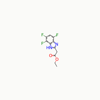 CCOC(=O)Cc1nc2c(F)cc(F)c(F)c2[nH]1